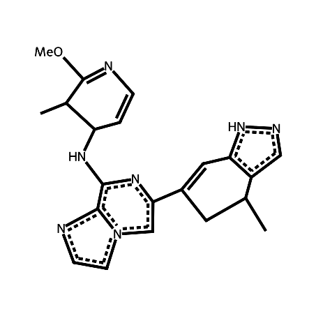 COC1=NC=CC(Nc2nc(C3=Cc4[nH]ncc4C(C)C3)cn3ccnc23)C1C